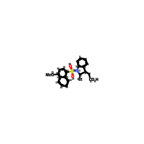 CCC1C(CC(=O)O)c2ccccc2N1S(=O)(=O)c1ccc(OC)c2ccccc12